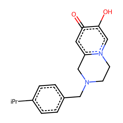 CC(C)c1ccc(CN2CCn3cc(O)c(=O)cc3C2)cc1